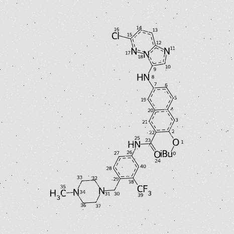 CCC(C)Oc1cc2ccc(Nc3cnc4ccc(Cl)nn34)cc2cc1C(=O)Nc1ccc(CN2CCN(C)CC2)c(C(F)(F)F)c1